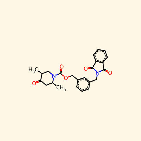 C[C@H]1CN(C(=O)OCc2cccc(CN3C(=O)c4ccccc4C3=O)c2)[C@@H](C)CC1=O